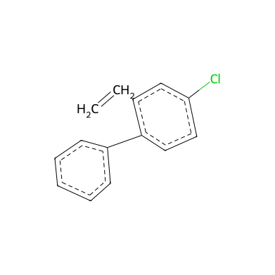 C=C.Clc1ccc(-c2ccccc2)cc1